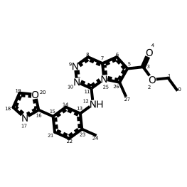 CCOC(=O)c1cc2cnnc(Nc3cc(-c4ncco4)ccc3C)n2c1C